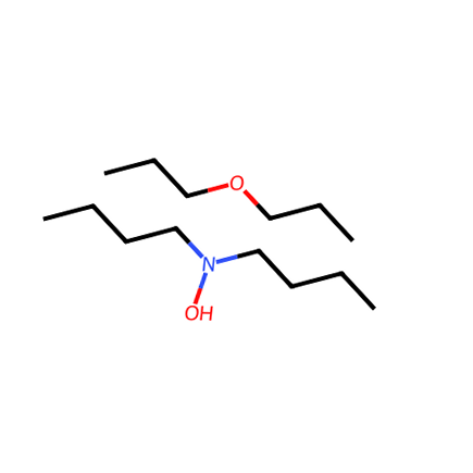 CCCCN(O)CCCC.CCCOCCC